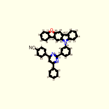 N#Cc1ccc(-c2cc(-c3ccccc3)nc(-c3cccc(-n4c5ccccc5c5cc6oc7ccccc7c6cc54)c3)n2)cc1